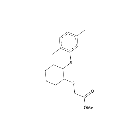 COC(=O)CSC1CCCCC1Sc1cc(C)ccc1C